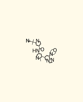 Cc1ncc(NC(=O)c2ccnc(C(C)(C)C#N)c2)cc1-c1cc(N2CCOCC2)c2nccn2c1